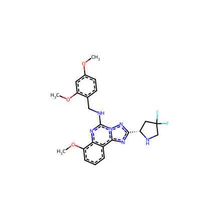 COc1ccc(CNc2nc3c(OC)cccc3c3nc([C@@H]4CC(F)(F)CN4)nn23)c(OC)c1